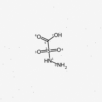 NNS(=O)(=O)C(=O)O